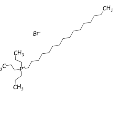 CCCCCCCCCCCCCCCC[P+](CCC)(CCC)CCC.[Br-]